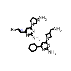 CC(C)(C)/C=C/c1cc(N2CC[C@@H](N)C2)nc(N)n1.NCC1CN(c2cc(C3CCCCC3)nc(N)n2)C1